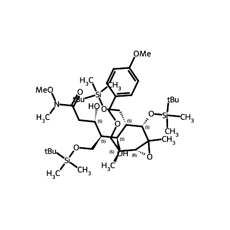 COc1ccc(COC[C@H](C)[C@H]2OC2(C)[C@@H](O[Si](C)(C)C(C)(C)C)[C@@H](CO[Si](C)(C)C(C)(C)C)[C@@H](O)[C@@H](CO[Si](C)(C)C(C)(C)C)[C@@H](O)CC(=O)N(C)OC)cc1